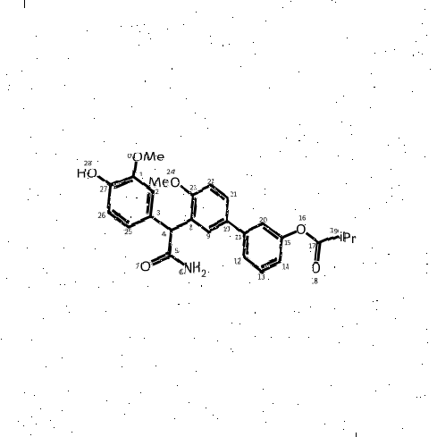 COc1cc(C(C(N)=O)c2cc(-c3cccc(OC(=O)C(C)C)c3)ccc2OC)ccc1O